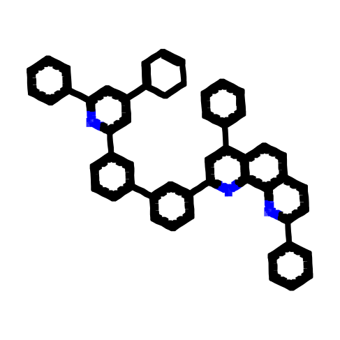 C1=CCCC(c2cc(-c3ccccc3)nc(-c3cccc(-c4cccc(-c5cc(-c6ccccc6)c6ccc7ccc(-c8ccccc8)nc7c6n5)c4)c3)c2)=C1